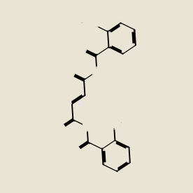 CC(=O)Oc1ccccc1C(=O)OC(=O)/C=C/C(=O)OC(=O)c1ccccc1OC(C)=O